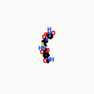 CC(=O)Nc1ccc(C(=O)C(=O)NCc2scc3c2CN(C2CCC(=O)NC2=O)C3=O)cc1